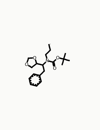 [CH2]CCN(C(=O)OC(C)(C)C)C(Cc1ccccc1)C1COCO1